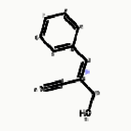 N#C/C(=C\c1ccccc1)CO